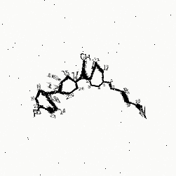 C=C(C1CCC(C=CC=CC#N)CC1)C1CCC(c2ccc(F)cc2)CC1